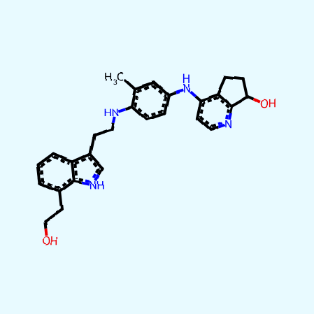 Cc1cc(Nc2ccnc3c2CCC3O)ccc1NCCc1c[nH]c2c(CCO)cccc12